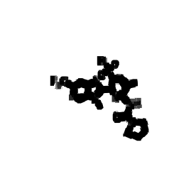 CCS(=O)(=O)c1cc(C)c(NC(=O)N2CCCC2)nc1-c1nc2cc(C(F)(F)F)ncc2n1C